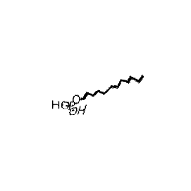 CCCCCCCCCCC=COP(O)O